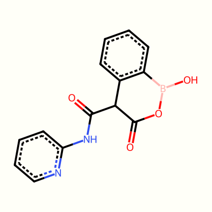 O=C(Nc1ccccn1)C1C(=O)OB(O)c2ccccc21